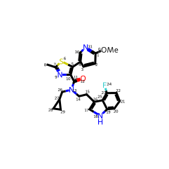 COc1ccc(-c2sc(C)nc2C(=O)N(CCc2c[nH]c3cccc(F)c23)CC2CC2)cn1